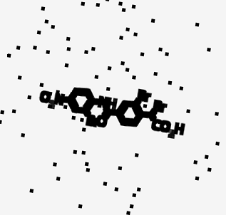 O=C(Nc1ccc([N+](=O)[O-])cc1Br)c1ccc(C(Br)C(=O)O)c(Br)c1